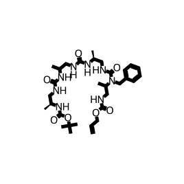 C=CCOC(=O)NCC(C)N(Cc1ccccc1)C(=O)NC[C@H](C)NC(=O)NCC(C)NC(=O)NC[C@H](C)NC(=O)OC(C)(C)C